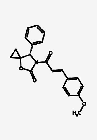 COc1ccc(/C=C/C(=O)N2C(=O)OC3(CC3)[C@@H]2c2ccccc2)cc1